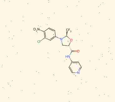 O=C(Nc1ccncc1)[C@@H]1CN(c2ccc([N+](=O)[O-])c(Cl)c2)[C@@H](C(F)(F)F)O1